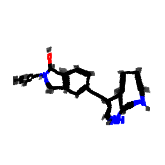 CN1Cc2cc(-c3c[nH]c4ncccc34)ccc2C1=O